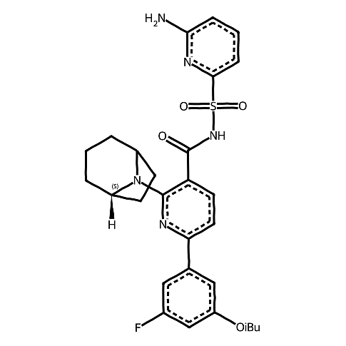 CC(C)COc1cc(F)cc(-c2ccc(C(=O)NS(=O)(=O)c3cccc(N)n3)c(N3C4CCC[C@H]3CC4)n2)c1